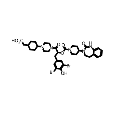 O=C(O)CC1CCC(N2CCN(C(=O)C(Cc3cc(Br)c(O)c(Br)c3)OC(=O)N3CCC(N4CCc5ccccc5NC4=O)CC3)CC2)CC1